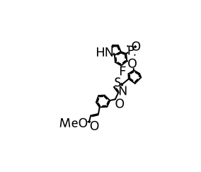 COC(=O)/C=C/c1cccc(C(=O)c2csc(-c3cccc(Oc4c(F)cc5[nH]ccc5c4P(C)(C)=O)c3)n2)c1